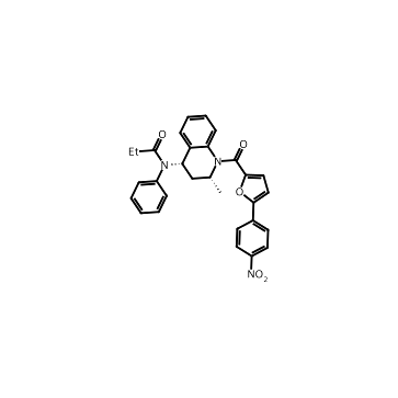 CCC(=O)N(c1ccccc1)[C@H]1C[C@@H](C)N(C(=O)c2ccc(-c3ccc([N+](=O)[O-])cc3)o2)c2ccccc21